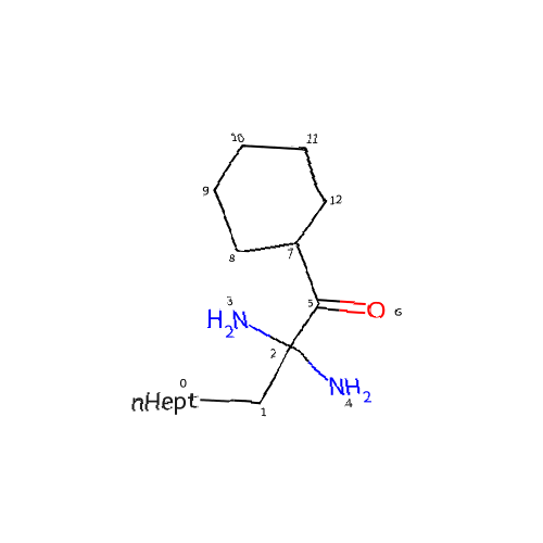 CCCCCCCCC(N)(N)C(=O)C1CCCCC1